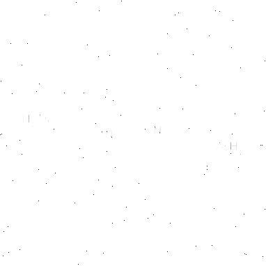 [AsH2]CCN1CCN(CC[AsH2])CC1